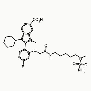 CN(CCCCCNC(=O)COc1cc(F)ccc1-c1c(C2CCCCC2)c2ccc(C(=O)O)cc2n1C)S(N)(=O)=O